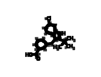 CC(C)(C)c1[nH]c2cc(Cl)ccc2c1Cc1cccc(C(=O)O)c1